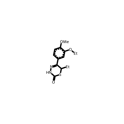 CCOc1cc(C2=NNC(=O)SC2CC)ccc1OC